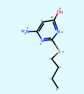 CCCCSc1nc(N)cc(O)n1